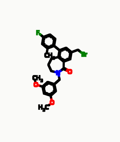 COc1cc(CN2CCCc3c(cc(CBr)cc3-c3ccc(F)cc3C)C2=O)cc(OC)c1